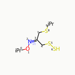 CC(C)O/N=C(\CSS)CSC(C)C